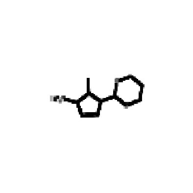 CC1C(C(=O)O)C=CC1C1SCCCS1